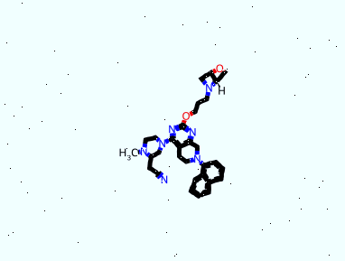 CN1CCN(c2nc(OCCCN3CC4OC[C@H]43)nc3c2CCN(c2cccc4ccccc24)C3)CC1CC#N